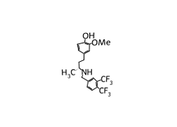 COc1cc(CC[C@@H](C)NCc2ccc(C(F)(F)F)c(C(F)(F)F)c2)ccc1O